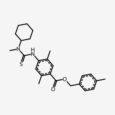 Cc1ccc(COC(=O)c2cc(C)c(NC(=S)N(C)C3CCCCC3)cc2C)cc1